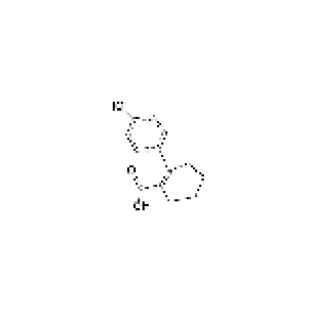 O=C(O)C1=C(c2ccc(O)cc2)CCCC1